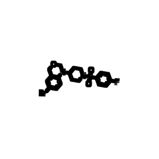 O=S(=O)(c1ccc(F)cc1)N1CCC(N2COCc3cc(Br)ccc32)CC1